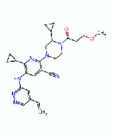 C=Cc1cnnc(Nc2cc(C#N)c(N3CCN(C(=O)CCOC)C(C4CC4)C3)nc2C2CC2)c1